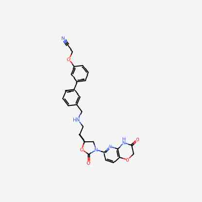 N#CCOc1cccc(-c2cccc(CNCCC3CN(c4ccc5c(n4)NC(=O)CO5)C(=O)O3)c2)c1